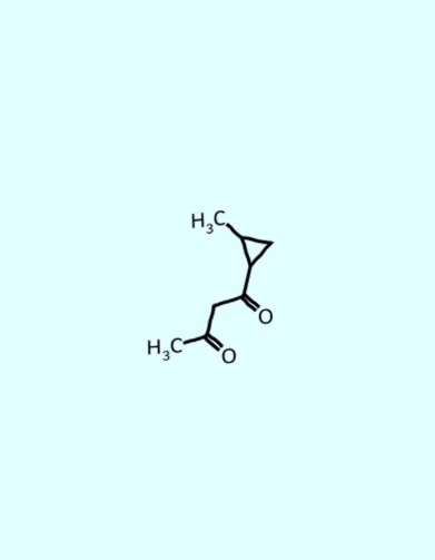 CC(=O)CC(=O)C1CC1C